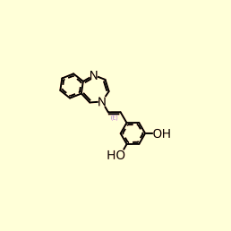 Oc1cc(O)cc(/C=C/N2C=CN=c3ccccc3=C2)c1